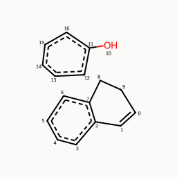 C1=Cc2ccccc2CC1.Oc1ccccc1